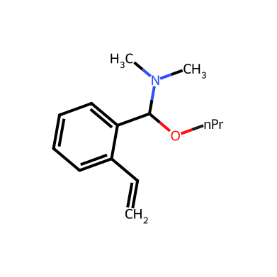 C=Cc1ccccc1C(OCCC)N(C)C